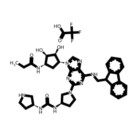 CCC(=O)N[C@H]1C[C@@H](n2cnc3c(NCC4c5ccccc5-c5ccccc54)nc(N4CC[C@@H](NC(=O)N[C@@H]5CCNC5)C4)nc32)[C@H](O)[C@@H]1O.O=C(O)C(F)(F)F